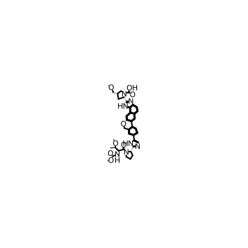 COC[C@H]1C[C@@H](c2nc3ccc4cc5c(cc4c3[nH]2)OCc2cc(-c3cnc([C@@H]4CCCN4C(=O)[C@@H](NC(=O)OC)[C@@H](C)OC)[nH]3)ccc2-5)N(C(=O)O)C1